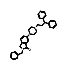 O=C1c2cc(N3CCN(CCC(c4ccccc4)c4ccccc4)CC3)ccc2CN1Cc1ccccc1